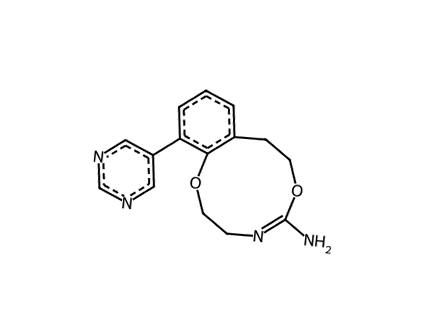 N/C1=N/CCOc2c(cccc2-c2cncnc2)CCO1